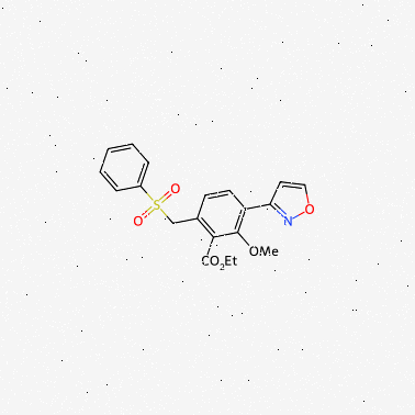 CCOC(=O)c1c(CS(=O)(=O)c2ccccc2)ccc(-c2ccon2)c1OC